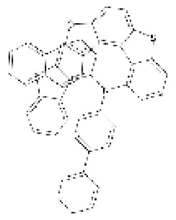 c1ccc(-c2ccc(N(c3cccc4sc5ccccc5c34)c3cccc4sc5ccc6oc7c8ccccc8ccc7c6c5c34)cc2)cc1